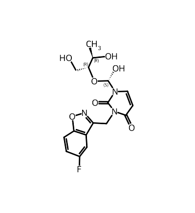 C[C@@H](O)[C@@H](CO)O[C@H](O)n1ccc(=O)n(Cc2noc3ccc(F)cc23)c1=O